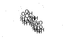 [2H]c1c(OC)c(OC)c([2H])c2c(N([2H])[2H])nc(N3C([2H])([2H])CN(C(=O)C4OC([2H])([2H])C([2H])([2H])C4([2H])[2H])CC3([2H])[2H])nc12